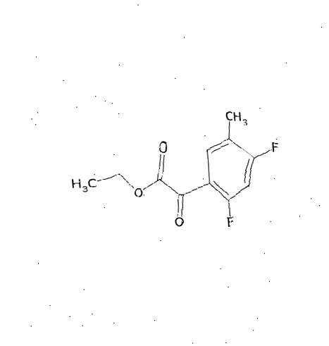 CCOC(=O)C(=O)c1cc(C)c(F)cc1F